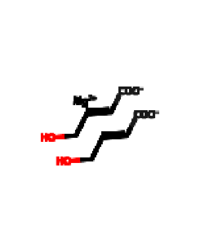 O=C([O-])C=CCO.O=C([O-])C=CCO.[Mg+2]